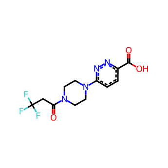 O=C(O)c1ccc(N2CCN(C(=O)CC(F)(F)F)CC2)nn1